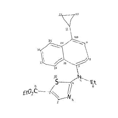 CCOC(=O)c1cnc(N(CC)c2ccc(C3CC3)c3ccccc23)s1